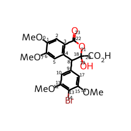 COc1cc2c(cc1OC)C(c1cc(OC)c(Br)c(OC)c1)C(O)(C(=O)O)OC2=O